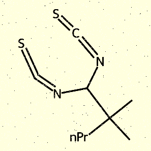 CCCC(C)(C)C(N=C=S)N=C=S